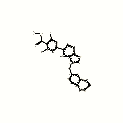 COC(=O)c1c(F)cc(-c2ccc3ncn(Cc4ccc5ncccc5c4)c3n2)cc1F